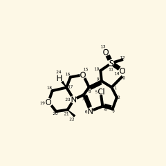 CC1C/C=C(Cl)/N=C2\C(=C/1CS(C)(=O)=O)OC[C@H]1COC[C@H](C)N21